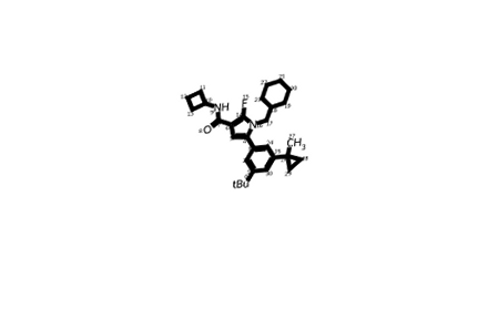 CC(C)(C)c1cc(-c2cc(C(=O)NC3CCC3)c(F)n2CC2CCCCC2)cc(C2(C)CC2)c1